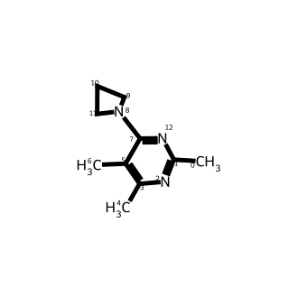 Cc1nc(C)c(C)c(N2CCC2)n1